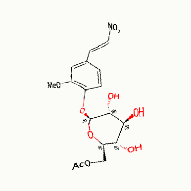 COc1cc(C=C[N+](=O)[O-])ccc1O[C@@H]1O[C@H](COC(C)=O)[C@@H](O)[C@H](O)[C@H]1O